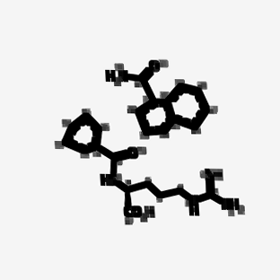 N=C(N)NCCC[C@H](NC(=O)c1ccccc1)C(=O)O.NC(=O)c1cccc2ccccc12